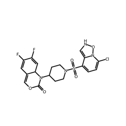 O=C1OC=C2C=C(F)C(F)=CC2N1C1CCN(S(=O)(=O)C2=CC=C(Cl)N3ONC=C23)CC1